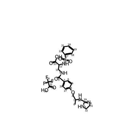 CC(COc1ccc(C(=O)NCC(NS(=O)(=O)c2ccccc2)C(=O)O)cc1)NC1=NCCN1.O=C(O)C(F)(F)F